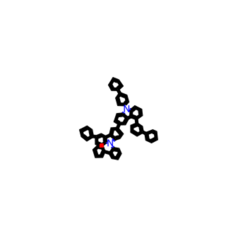 c1ccc(-c2ccc(-n3c4ccc(-c5ccc6c(c5)c5cc(-c7ccccc7)ccc5n6-c5ccccc5-c5ccccc5)cc4c4c(-c5cccc(-c6ccccc6)c5)cccc43)cc2)cc1